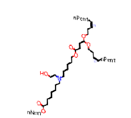 CCCCC/C=C\CCOC(CCC(=O)OCCCCCCN(CCO)CCCCCCCC(=O)OCCCCCCCCC)OCC/C=C\CCCCC